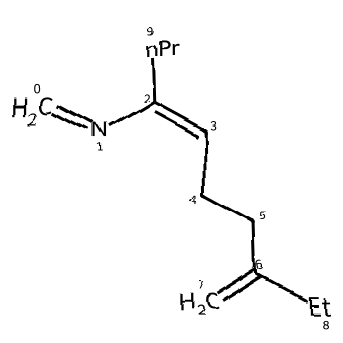 C=N/C(=C\CCC(=C)CC)CCC